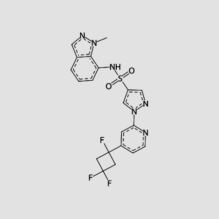 Cn1ncc2cccc(NS(=O)(=O)c3cnn(-c4cc(C5(F)CC(F)(F)C5)ccn4)c3)c21